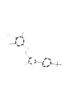 Cc1cc(NCc2oc(-c3ccc(C(F)(F)F)cc3)nc2C)cc(C)c1O